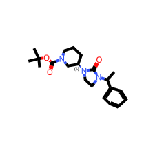 CC(c1ccccc1)N1CCN([C@H]2CCCN(C(=O)OC(C)(C)C)C2)C1=O